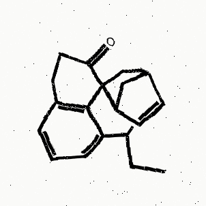 CCC(C)c1cccc2c1C1(CC3C=CC1C3)C(=O)CC2